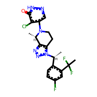 C[C@H](c1ccc(F)cc1C(C)(F)F)n1nnc2c1CCN(c1cn[nH]c(=O)c1Cl)[C@H]2C